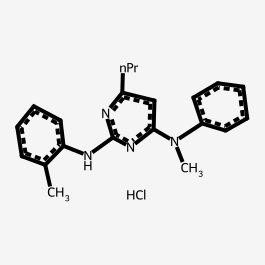 CCCc1cc(N(C)c2ccccc2)nc(Nc2ccccc2C)n1.Cl